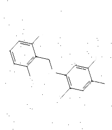 Cc1cc(C)c(OCc2c(Br)cccc2[N+](=O)[O-])cc1F